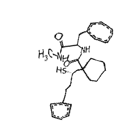 CNC(=O)C(Cc1ccccc1)NC(=O)C1([C@@H](S)CCc2ccccc2)CCCCC1